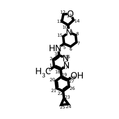 Cc1cc(NC2CCCN(C3CCOC3)C2)nnc1-c1ccc(C2CC2)cc1O